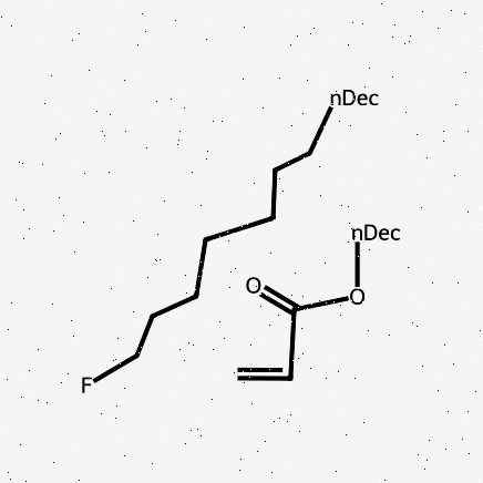 C=CC(=O)OCCCCCCCCCC.CCCCCCCCCCCCCCCCCF